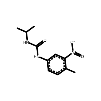 Cc1ccc(NC(=O)NC(C)C)cc1[N+](=O)[O-]